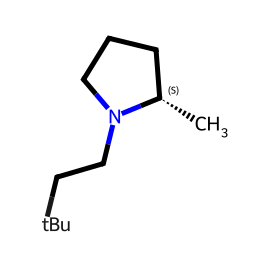 C[C@H]1CCCN1CCC(C)(C)C